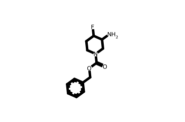 NC1CN(C(=O)OCc2ccccc2)CCC1F